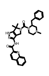 CN1CCN(C(=O)N2Cc3c(NC(=O)c4ccc5ccccc5n4)n[nH]c3C2(C)C)C(Cc2ccccc2)C1